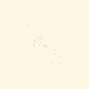 O=C(N[C@@H]1CCC[C@@H]1Nc1ccc(C(F)(F)F)cn1)c1cc(F)ccc1-n1nccn1